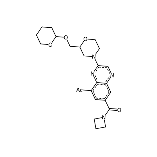 CC(=O)c1cc(C(=O)N2CCC2)cc2ncc(N3CCOC(COC4CCCCO4)C3)nc12